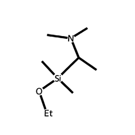 CCO[Si](C)(C)C(C)N(C)C